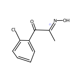 C/C(=N\O)C(=O)c1ccccc1Cl